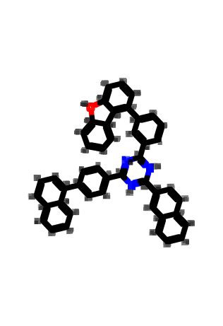 c1cc(-c2nc(-c3ccc(-c4cccc5ccccc45)cc3)nc(-c3ccc4ccccc4c3)n2)cc(-c2cccc3oc4ccccc4c23)c1